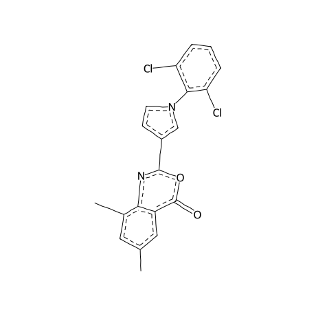 Cc1cc(C)c2nc(-c3ccn(-c4c(Cl)cccc4Cl)c3)oc(=O)c2c1